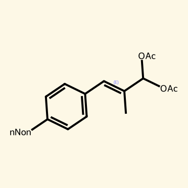 CCCCCCCCCc1ccc(/C=C(\C)C(OC(C)=O)OC(C)=O)cc1